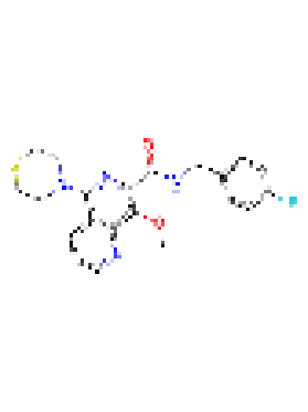 COc1c(C(=O)NCc2ccc(F)cc2)nc(N2CCSCC2)c2cccnc12